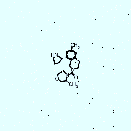 Cc1cc2c(c([C@@H]3CCCN3)c1)CN(C(=O)N1CCOC[C@@H]1C)CC2